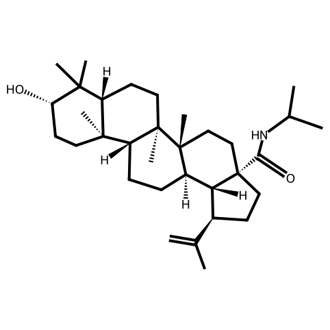 C=C(C)[C@@H]1CC[C@]2(C(=O)NC(C)C)CC[C@]3(C)[C@H](CC[C@@H]4[C@@]5(C)CC[C@H](O)C(C)(C)[C@@H]5CC[C@]43C)[C@@H]12